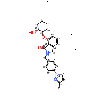 Cc1ccn(-c2ccc(CN3Cc4cccc(OC5CCCCC5O)c4C3=O)cc2)n1